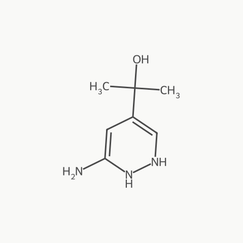 CC(C)(O)C1=CNNC(N)=C1